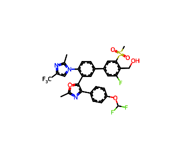 Cc1nc(-c2ccc(OC(F)F)cc2)c(-c2cc(-c3cc(F)c(CO)c(S(C)(=O)=O)c3)ccc2-n2cc(C(F)(F)F)nc2C)o1